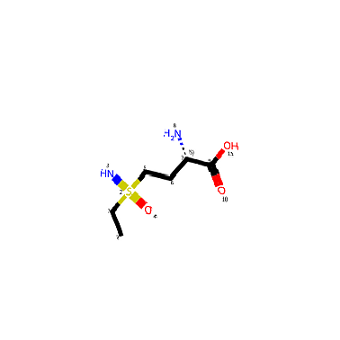 CCS(=N)(=O)CC[C@H](N)C(=O)O